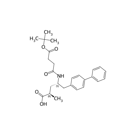 C[C@H](C[C@@H](Cc1ccc(-c2ccccc2)cc1)NC(=O)CCC(=O)OC(C)(C)C)C(=O)O